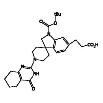 CC(C)(C)OC(=O)N1CC2(CCN(c3nc4c(c(=O)[nH]3)CCCC4)CC2)c2ccc(CCC(=O)O)cc21